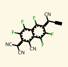 C#C/C(C#N)=c1\c(F)c(F)c2c(C#N)c(=C(C#N)C#N)c(F)c(F)c2c1F